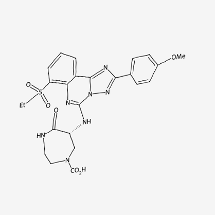 CCS(=O)(=O)c1cccc2c1nc(N[C@@H]1CN(C(=O)O)CCNC1=O)n1nc(-c3ccc(OC)cc3)nc21